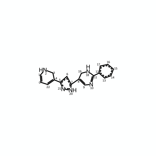 C1=CNCC(c2cc(C3=CN=C(c4ccccc4)NC3)[nH]n2)=C1